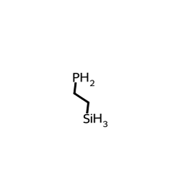 [SiH3]CCP